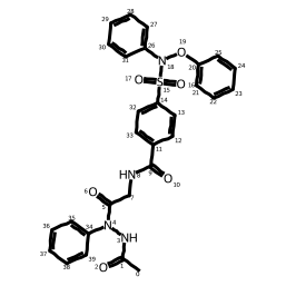 CC(=O)NN(C(=O)CNC(=O)c1ccc(S(=O)(=O)N(Oc2ccccc2)c2ccccc2)cc1)c1ccccc1